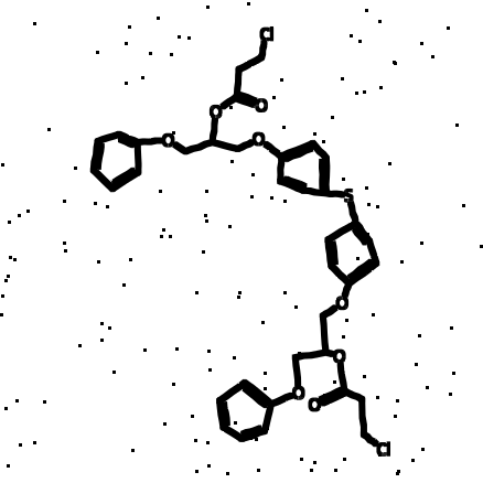 O=C(CCCl)OC(COc1ccccc1)COc1ccc(Sc2ccc(OCC(COc3ccccc3)OC(=O)CCCl)cc2)cc1